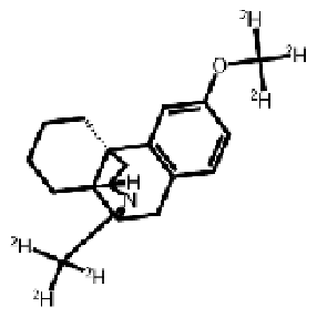 [2H]C([2H])([2H])Oc1ccc2c(c1)[C@]13CCCC[C@H]1C(C2)N(C([2H])([2H])[2H])CC3